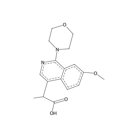 COc1ccc2c(C(C)C(=O)O)cnc(N3CCOCC3)c2c1